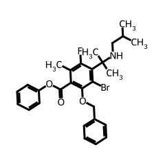 Cc1c(F)c(C(C)(C)NCC(C)C)c(Br)c(OCc2ccccc2)c1C(=O)Oc1ccccc1